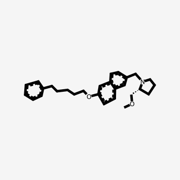 COC[C@H]1CCCN1Cc1ccc2cc(OCCCCCc3ccccc3)ccc2c1